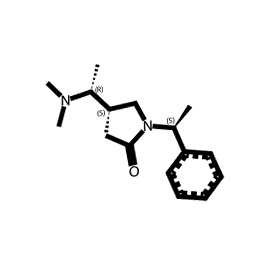 C[C@H]([C@H]1CC(=O)N([C@@H](C)c2ccccc2)C1)N(C)C